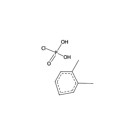 Cc1ccccc1C.O=P(O)(O)Cl